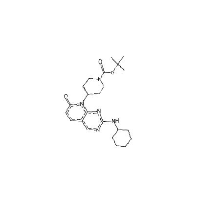 CC(C)(C)OC(=O)N1CCC(n2c(=O)ccc3cnc(NC4CCCCC4)nc32)CC1